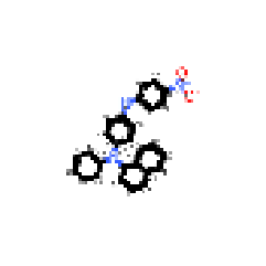 O=[N+]([O-])c1ccc(Nc2ccc(N(C3=CC=CCC3)c3cccc4ccccc34)cc2)cc1